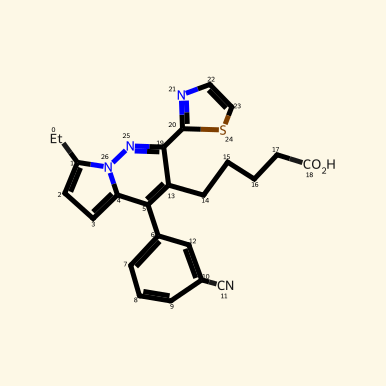 CCc1ccc2c(-c3cccc(C#N)c3)c(CCCCC(=O)O)c(-c3nccs3)nn12